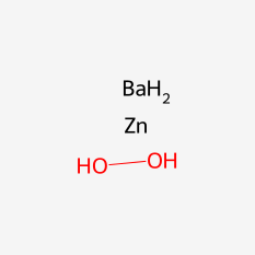 OO.[BaH2].[Zn]